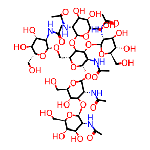 CC(=O)N[C@H]1[C@H](OC[C@H]2O[C@@H](O[C@@H]3O[C@H](CO)[C@@H](O)[C@H](O[C@@H]4O[C@H](CO)[C@@H](O)[C@H](O)[C@H]4NC(C)=O)[C@H]3NC(C)=O)[C@H](NC(C)=O)[C@@H](O[C@@H]3O[C@H](CO)[C@@H](O)[C@H](O)[C@H]3NC(C)=O)[C@@H]2O[C@@H]2O[C@H](CO)[C@@H](O)[C@H](O)[C@H]2NC(C)=O)O[C@H](CO)[C@@H](O)[C@@H]1O